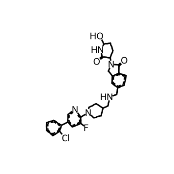 O=C1NC(O)CCC1N1Cc2cc(CNCC3CCN(c4ncc(-c5ccccc5Cl)cc4F)CC3)ccc2C1=O